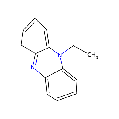 CCN1C2=CC=CCC2=Nc2ccccc21